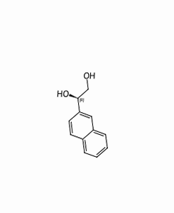 OC[C@H](O)c1ccc2ccccc2c1